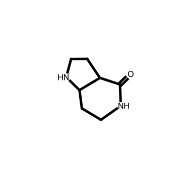 O=C1NCCC2NCCC12